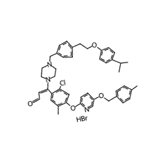 Br.Cc1ccc(COc2ccc(Oc3cc(Cl)c(/C(=C\C=O)N4CCN(Cc5ccc(CCOc6ccc(C(C)C)cc6)cc5)CC4)cc3C)nc2)cc1